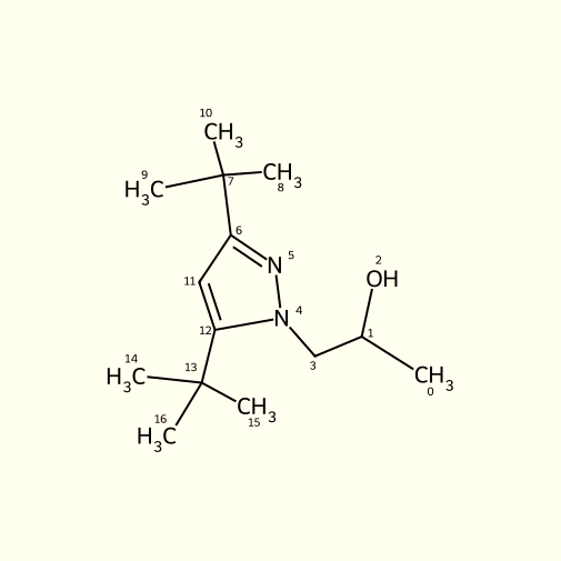 CC(O)Cn1nc(C(C)(C)C)cc1C(C)(C)C